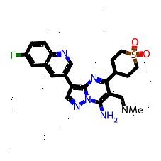 CNCc1c(C2CCS(=O)(=O)CC2)nc2c(-c3cnc4ccc(F)cc4c3)cnn2c1N